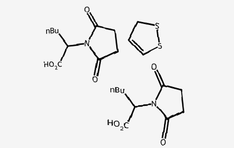 C1=CSSC1.CCCCC(C(=O)O)N1C(=O)CCC1=O.CCCCC(C(=O)O)N1C(=O)CCC1=O